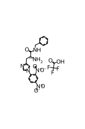 N[C@@H](Cc1cn(-c2ccc([N+](=O)[O-])cc2[N+](=O)[O-])cn1)C(=O)NCc1ccccc1.O=C(O)C(F)(F)F